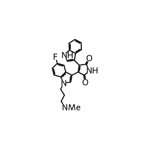 CNCCCn1cc(C2=C(c3c[nH]c4ccccc34)C(=O)NC2=O)c2cc(F)ccc21